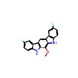 COc1c2[nH]c3ccc(F)cc3c2cc2c1[nH]c1ccc(F)cc12